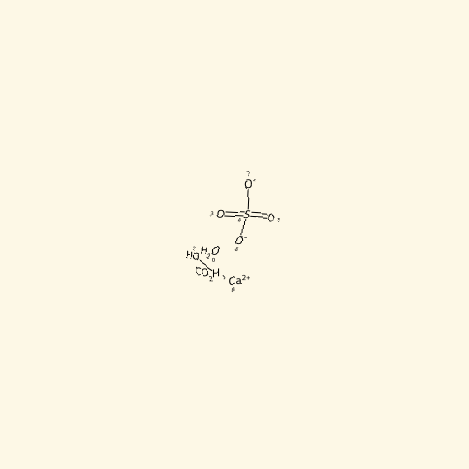 O.O=C(O)O.O=S(=O)([O-])[O-].[Ca+2]